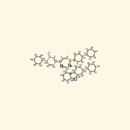 CC1C=C(C2=C=CC(c3ccc(-c4ccccc4)cc3)=NC(c3cccc4oc5cc(-c6ccccc6)ccc5c34)=N2)C=CC1c1ccccc1